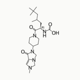 CC(C[C@@H](NC(=O)O)C(=O)N1CCC(N2CN3CN(C)C=C3C2=O)CC1)CC(C)(C)C